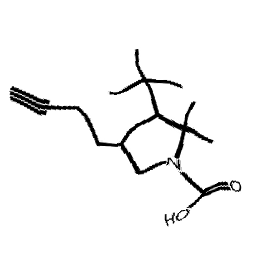 C#CCCC1CN(C(=O)O)C(C)(C)C1C(C)(C)C